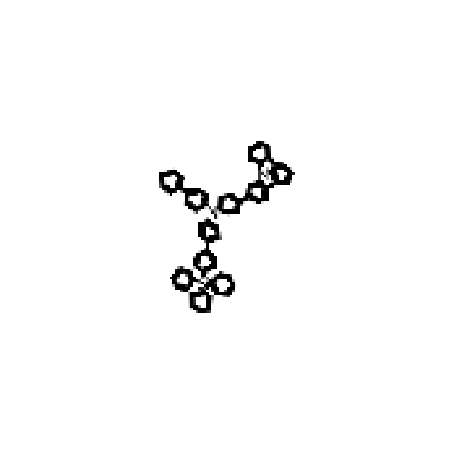 c1ccc(-c2ccc(N(c3ccc(-c4ccc([Si](c5ccccc5)(c5ccccc5)c5ccccc5)cc4)cc3)c3ccc(-c4ccc5c6cccc7c8ccccc8n(c5c4)c76)cc3)cc2)cc1